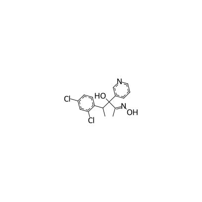 CC(=NO)C(O)(c1cccnc1)C(C)c1ccc(Cl)cc1Cl